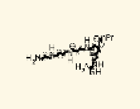 CCCC(=O)OC(CCCCNC(=N)N)CC(=O)NCCCC(=O)NCCCCNCCCN